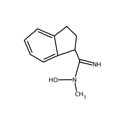 CN(O)C(=N)C1CCc2ccccc21